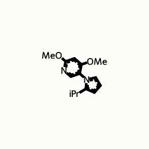 COc1cc(OC)c(-n2cccc2C(C)C)cn1